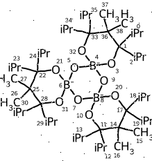 CC(C)C1(C(C)C)O[B-]2(O[B-]3(O[B-]4(O2)OC(C(C)C)(C(C)C)C(C)(C)C(C(C)C)(C(C)C)O4)OC(C(C)C)(C(C)C)C(C)(C)C(C(C)C)(C(C)C)O3)OC(C(C)C)(C(C)C)C1(C)C